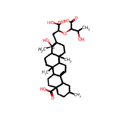 CC1CCC2(C(=O)O)CCC3C(=CCC4C3(C)CCC3C4(C)CCC(CC(OC(C(=O)O)C(C)O)C(O)O)[C@@]3(C)O)C2C1